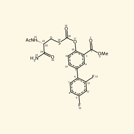 COC(=O)c1cc(-c2ccc(F)cc2F)ccc1OC(=O)SC[C@@H](NC(C)=O)C(N)=O